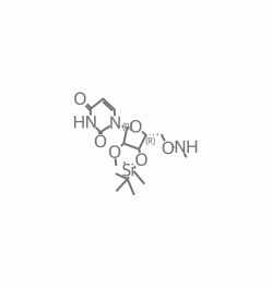 CNOC[C@H]1O[C@@H](n2ccc(=O)[nH]c2=O)C(OC)C1O[Si](C)(C)C(C)(C)C